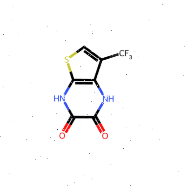 O=c1[nH]c2scc(C(F)(F)F)c2[nH]c1=O